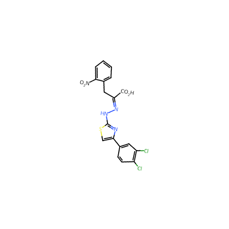 O=C(O)/C(Cc1ccccc1[N+](=O)[O-])=N/Nc1nc(-c2ccc(Cl)c(Cl)c2)cs1